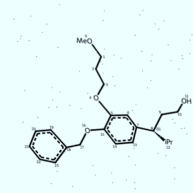 COCCCOc1cc([C@@H](CCO)C(C)C)ccc1OCc1ccccc1